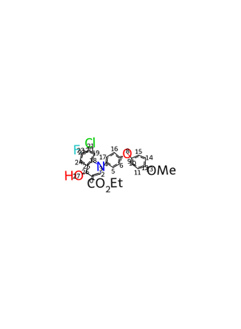 CCOC(=O)C1=CN(c2ccc(Oc3ccc(OC)cc3)cc2)c2cc(Cl)c(F)cc2C1O